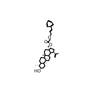 C=C(C)[C@@H]1CC[C@]2(COC(=O)COC/C=C/c3ccccc3)CC[C@]3(C)C(CCC4[C@@]5(C)CC[C@H](O)[C@H](C)C5CC[C@]43C)C12